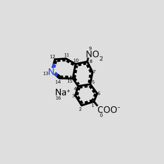 O=C([O-])c1ccc2c(c1)cc([N+](=O)[O-])c1ccncc12.[Na+]